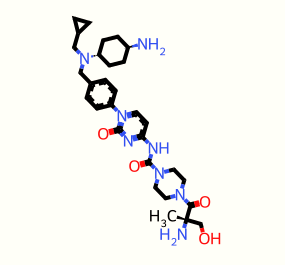 C[C@](N)(CO)C(=O)N1CCN(C(=O)Nc2ccn(-c3ccc(CN(CC4CC4)[C@H]4CC[C@H](N)CC4)cc3)c(=O)n2)CC1